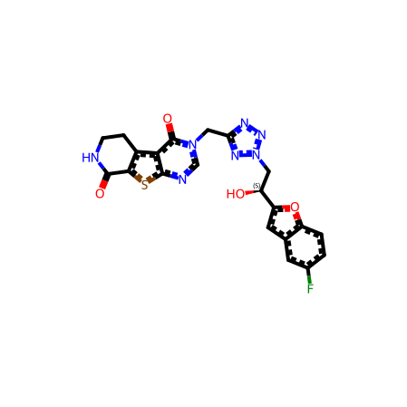 O=C1NCCc2c1sc1ncn(Cc3nnn(C[C@H](O)c4cc5cc(F)ccc5o4)n3)c(=O)c21